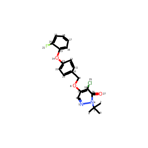 CC(C)(C)n1ncc(OCc2ccc(Oc3ccccc3F)cc2)c(Cl)c1=O